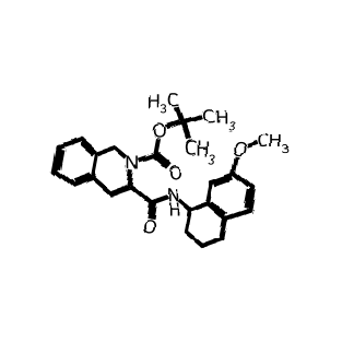 COc1ccc2c(c1)C(NC(=O)C1Cc3ccccc3CN1C(=O)OC(C)(C)C)CCC2